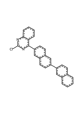 Clc1nc(-c2ccc3cc(-c4ccc5ccccc5c4)ccc3c2)c2ccccc2n1